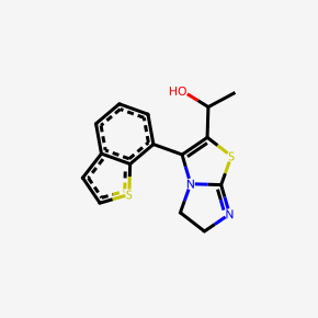 CC(O)C1=C(c2cccc3ccsc23)N2CCN=C2S1